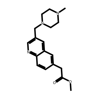 COC(=O)Cc1ccc2ncc(CN3CCN(C)CC3)cc2c1